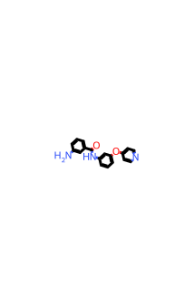 Nc1cccc(C(=O)Nc2cccc(Oc3ccncc3)c2)c1